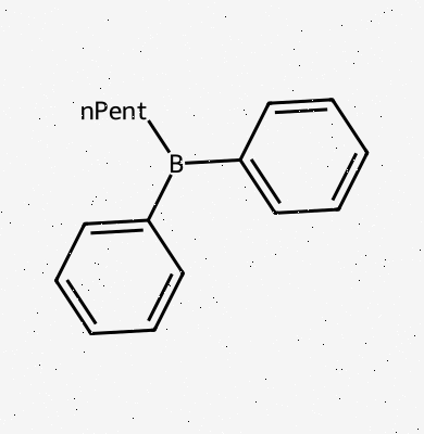 CCCCCB(c1ccccc1)c1ccccc1